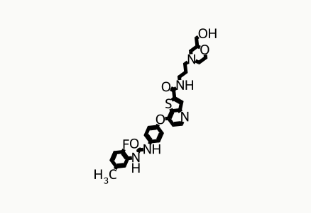 Cc1ccc(F)c(NC(=O)Nc2ccc(Oc3ccnc4cc(C(=O)NCCCN5CCOC(CO)C5)sc34)cc2)c1